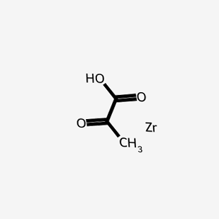 CC(=O)C(=O)O.[Zr]